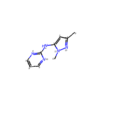 Cc1cc(Nc2ncccn2)n(C)n1